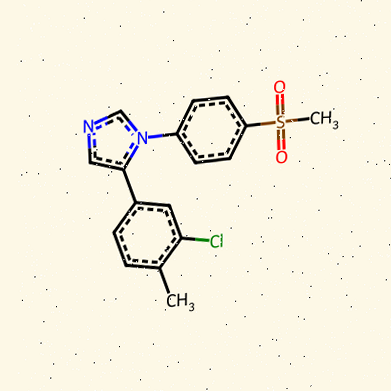 Cc1ccc(-c2cncn2-c2ccc(S(C)(=O)=O)cc2)cc1Cl